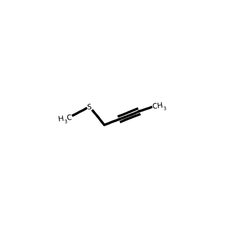 CC#CCSC